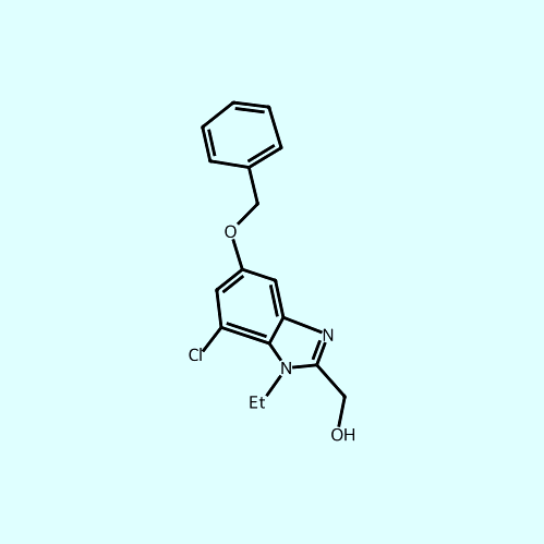 CCn1c(CO)nc2cc(OCc3ccccc3)cc(Cl)c21